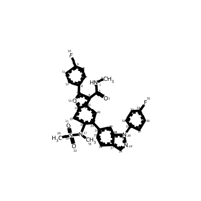 CNC(=O)c1c(-c2ccc(F)cc2)oc2cc(N(C)S(C)(=O)=O)c(-c3ccc4cnn(-c5ccc(F)cc5)c4c3)cc12